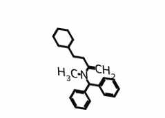 C=C(CCC1CCCCC1)N(C)C(c1ccccc1)c1ccccc1